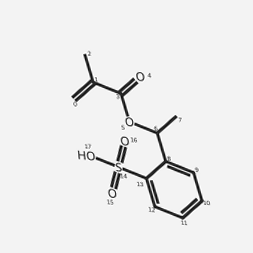 C=C(C)C(=O)OC(C)c1ccccc1S(=O)(=O)O